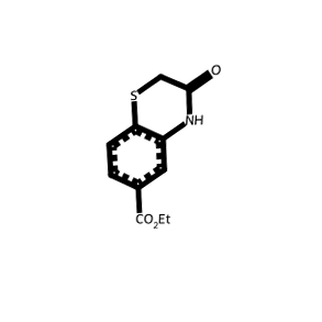 CCOC(=O)c1ccc2c(c1)NC(=O)CS2